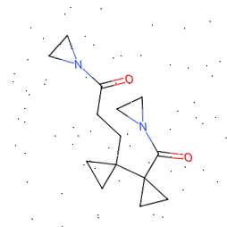 O=C(CCC1(C2(C(=O)N3CC3)CC2)CC1)N1CC1